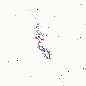 CCOC(=O)C(CC1CCNCC1)N1C(=O)SC(=Cc2ccc3c(cnn3Cc3ccc(Cl)cc3C(F)(F)F)c2)C1=O